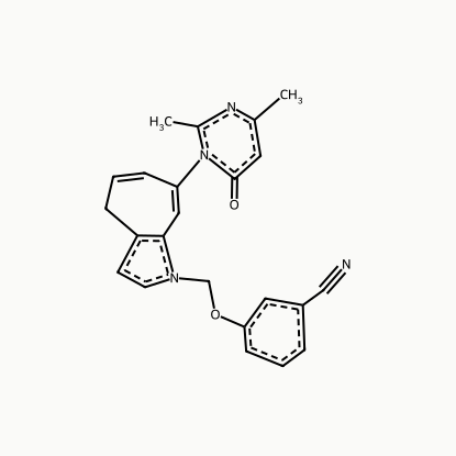 Cc1cc(=O)n(C2=Cc3c(ccn3COc3cccc(C#N)c3)CC=C2)c(C)n1